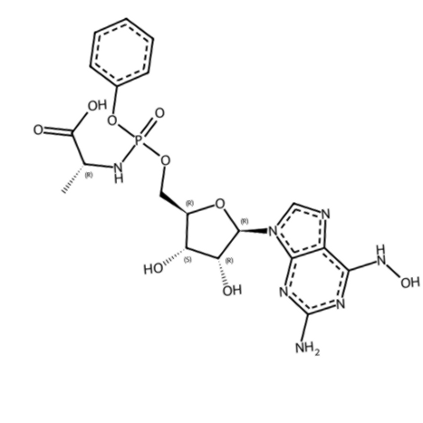 C[C@@H](NP(=O)(OC[C@H]1O[C@@H](n2cnc3c(NO)nc(N)nc32)[C@H](O)[C@@H]1O)Oc1ccccc1)C(=O)O